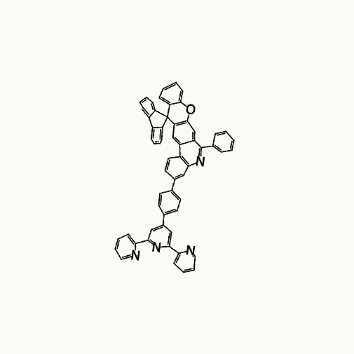 c1ccc(-c2nc3cc(-c4ccc(-c5cc(-c6ccccn6)nc(-c6ccccn6)c5)cc4)ccc3c3cc4c(cc23)Oc2ccccc2C42c3ccccc3-c3ccccc32)cc1